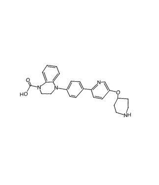 O=C(O)N1CCN(c2ccc(-c3ccc(OC4CCNCC4)cn3)cc2)c2ccccc21